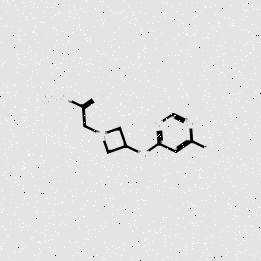 CCc1cc(NC2CN(CC(=O)NC)C2)ncn1